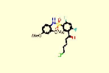 COc1ccc(NS(=O)(=O)c2cc(C(=O)CCCCCl)c(F)cc2F)c(OC)c1